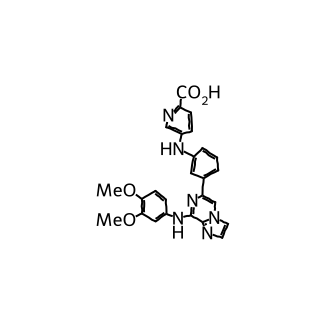 COc1ccc(Nc2nc(-c3cccc(Nc4ccc(C(=O)O)nc4)c3)cn3ccnc23)cc1OC